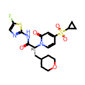 O=C(Nc1ncc(F)s1)[C@@H](CC1CCOCC1)n1ccc(S(=O)(=O)C2CC2)cc1=O